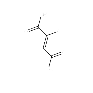 O=C(O)/C=C(\Cl)C(=O)O